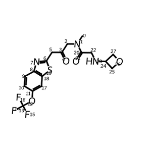 CN(CC(=O)Cc1nc2ccc(OC(F)(F)F)cc2s1)C(=O)CNC1COC1